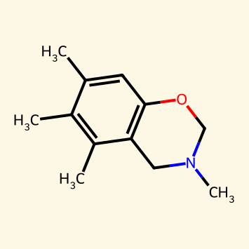 Cc1cc2c(c(C)c1C)CN(C)CO2